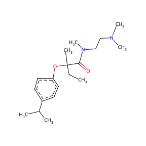 CCC(C)(Oc1ccc(C(C)C)cc1)C(=O)N(C)CCN(C)C